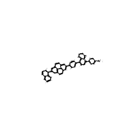 N#Cc1ccc2c(c1)Oc1cccc3c(-c4ccc(-c5cc6ccc7cc(-c8cccc9ccccc89)cc8ccc(c5)c6c78)cc4)ccc-2c13